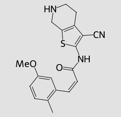 COc1ccc(C)c(/C=C\C(=O)Nc2sc3c(c2C#N)CCNC3)c1